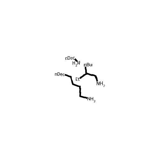 CCCCC(CC)CN.CCCCCCCCCCCCCCN.CCCCCCCCCCN